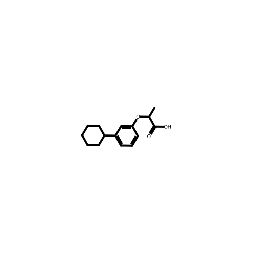 CC(Oc1cccc(C2CCCCC2)c1)C(=O)O